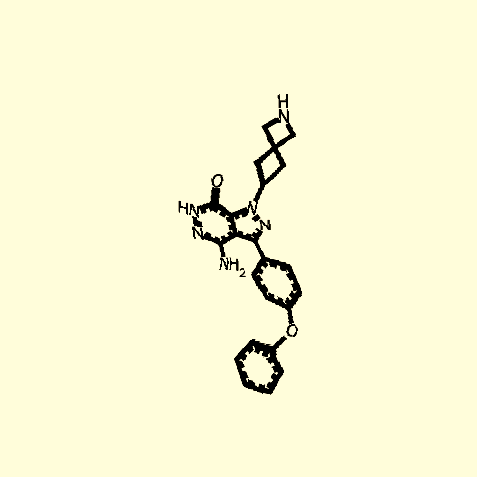 Nc1n[nH]c(=O)c2c1c(-c1ccc(Oc3ccccc3)cc1)nn2C1CC2(CNC2)C1